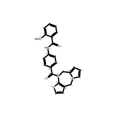 COc1ccccc1C(=O)Nc1ccc(C(=O)N2Cc3cccn3Cc3ccoc32)cc1